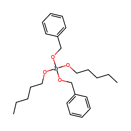 CCCCC[O][Zr]([O]CCCCC)([O]Cc1ccccc1)[O]Cc1ccccc1